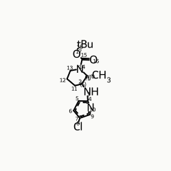 C[C@@H]1[C@@H](Nc2ccc(Cl)cn2)CCCN1C(=O)OC(C)(C)C